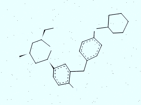 OC[C@H]1O[C@@H](c2ccc(Cl)c(Cc3ccc(OC4CCCCC4)cc3)c2)[C@H](O)[C@@H](O)[C@@H]1O